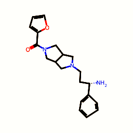 N[C@@H](CCN1CC2CN(C(=O)c3ccco3)CC2C1)c1ccccc1